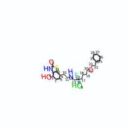 Cl.O=c1[nH]c2c(O)ccc(CCNCC(F)(F)CCCCOCCc3ccccc3)c2s1